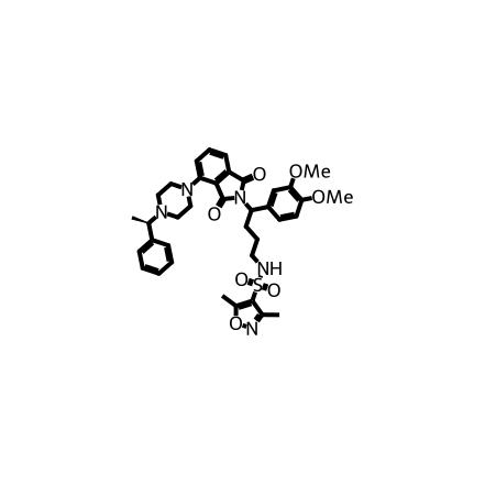 COc1ccc(C(CCCNS(=O)(=O)c2c(C)noc2C)N2C(=O)c3cccc(N4CCN([C@H](C)c5ccccc5)CC4)c3C2=O)cc1OC